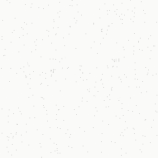 N=C(c1ccccc1)c1c(NCC(=O)N2CCC(F)(F)C2)nnc(-c2ccccc2)c1Cl